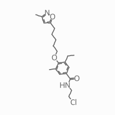 CCc1cc(C(=O)NCCCl)cc(C)c1OCCCCCc1cc(C)no1